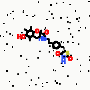 Cc1c(C)c2c(c(C)c1O)CCC(C)(C(=O)NCCc1ccc(C[C@@H]3SC(=O)NC3=O)cc1)O2